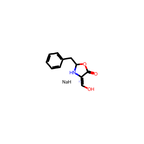 O=C1OC(Cc2ccccc2)N/C1=C/O.[NaH]